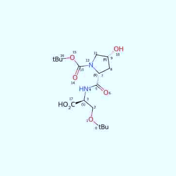 CC(C)(C)OC[C@H](NC(=O)[C@H]1C[C@@H](O)CN1C(=O)OC(C)(C)C)C(=O)O